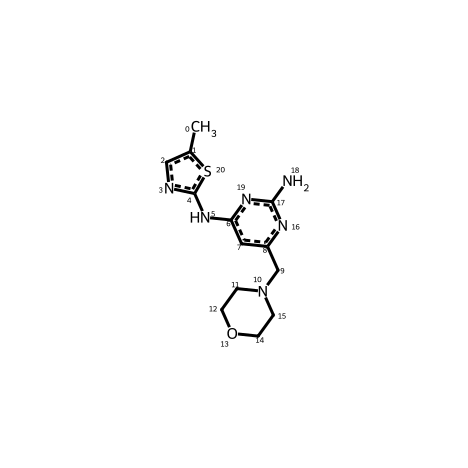 Cc1cnc(Nc2cc(CN3CCOCC3)nc(N)n2)s1